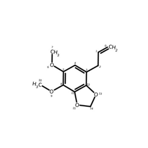 C=CCc1cc(OC)c(OC)c2c1OCO2